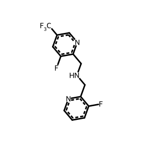 Fc1cccnc1CNCc1ncc(C(F)(F)F)cc1F